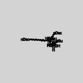 CCCCCCCCCCCCCCCCCCCCCCCCCC(=O)N[C@@H](CO[C@H]1O[C@H](CSC(C)(C)C)[C@H](O)[C@H](O)[C@H]1O)[C@H](O)[C@H](O)CCCCCCCCCCCCCC